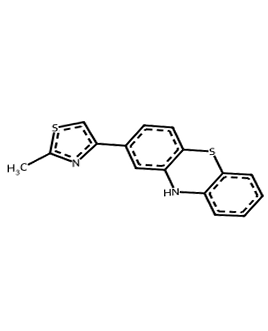 Cc1nc(-c2ccc3c(c2)Nc2ccccc2S3)cs1